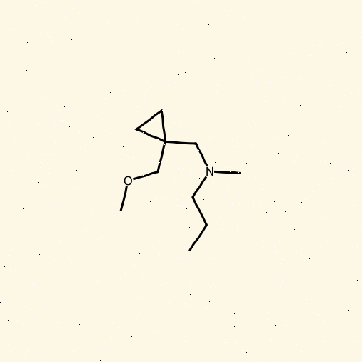 CCCN(C)CC1(COC)CC1